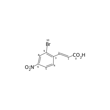 O=C(O)/C=C/c1ccc([N+](=O)[O-])cc1Br